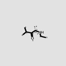 CCN[C@@H](C)C(=O)C(C)C